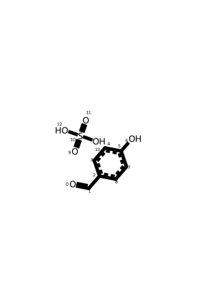 O=Cc1ccc(O)cc1.O=S(=O)(O)O